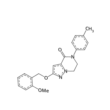 COc1ccccc1COc1cc2n(n1)CCN(c1ccc(C)cc1)C2=O